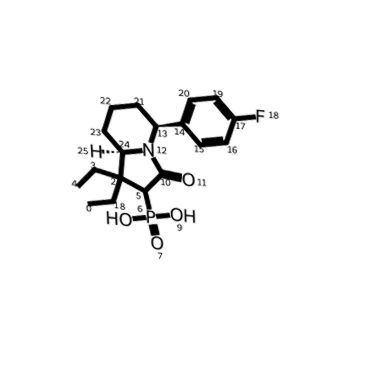 CCC1(CC)C(P(=O)(O)O)C(=O)N2[C@H](c3ccc(F)cc3)CCC[C@@H]21